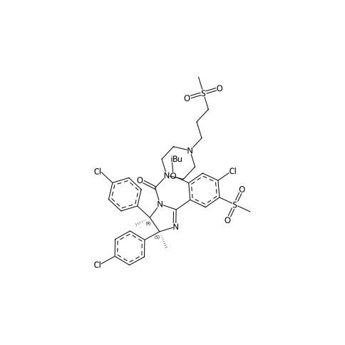 CCC(C)Oc1cc(Cl)c(S(C)(=O)=O)cc1C1=N[C@@](C)(c2ccc(Cl)cc2)[C@@](C)(c2ccc(Cl)cc2)N1C(=O)N1CCN(CCCS(C)(=O)=O)CC1